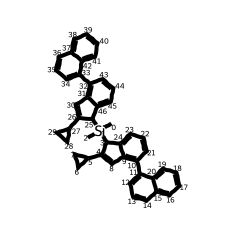 C[Si](C)(C1C(C2CC2)=Cc2c(-c3cccc4ccccc34)cccc21)C1C(C2CC2)=Cc2c(-c3cccc4ccccc34)cccc21